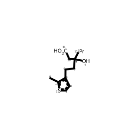 Cc1sccc1CCC(O)(CC(=O)O)C(C)C